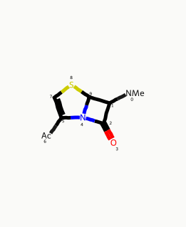 CNC1C(=O)N2C(C(C)=O)=CSC12